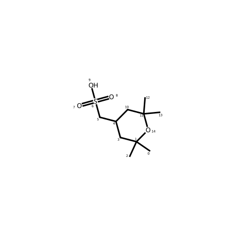 CC1(C)CC(CS(=O)(=O)O)CC(C)(C)O1